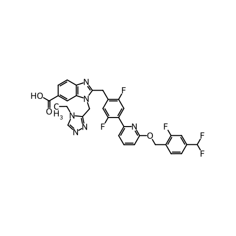 CCn1cnnc1Cn1c(Cc2cc(F)c(-c3cccc(OCc4ccc(C(F)F)cc4F)n3)cc2F)nc2ccc(C(=O)O)cc21